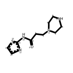 O=C(CCN1CCNCC1)Nc1nccs1